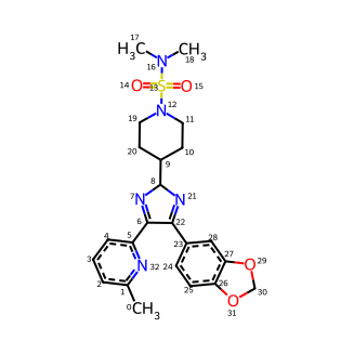 Cc1cccc(C2=NC(C3CCN(S(=O)(=O)N(C)C)CC3)N=C2c2ccc3c(c2)OCO3)n1